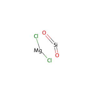 O=[Si]=O.[Cl][Mg][Cl]